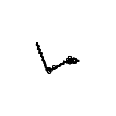 CCCCCCCCCCCCCC[C@@H]1CO[C@@H](COCCCCCCCOS(=O)(=O)c2ccc(C)cc2)C1